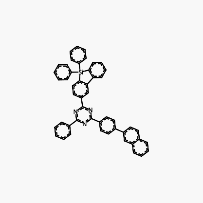 c1ccc(-c2nc(-c3ccc(-c4ccc5ccccc5c4)cc3)nc(-c3ccc4c(c3)-c3ccccc3[Si]4(c3ccccc3)c3ccccc3)n2)cc1